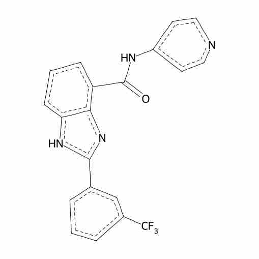 O=C(Nc1ccncc1)c1cccc2[nH]c(-c3cccc(C(F)(F)F)c3)nc12